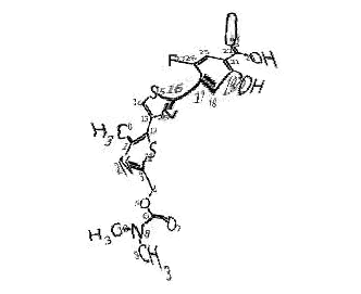 Cc1nc(COC(=O)N(C)C)sc1-c1csc(-c2cc(O)c(C(=O)O)cc2F)n1